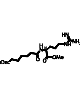 CCCCCCCCCCCCCCCC(=O)N[C@@H](CCCNC(=N)N)C(=O)OC